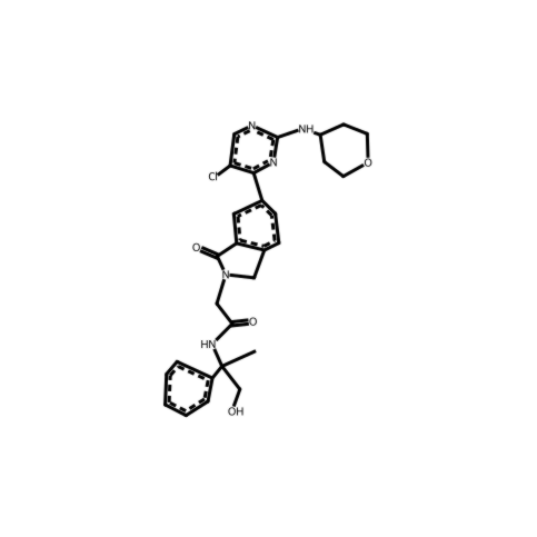 CC(CO)(NC(=O)CN1Cc2ccc(-c3nc(NC4CCOCC4)ncc3Cl)cc2C1=O)c1ccccc1